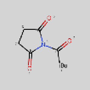 CCC(C)C(=O)N1C(=O)CCC1=O